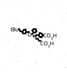 CC(C)(C)CCc1ccc(CO[C@@H](CN(CCCCC(=O)O)Cc2ccc(C(=O)O)cc2)c2ccccc2)cc1